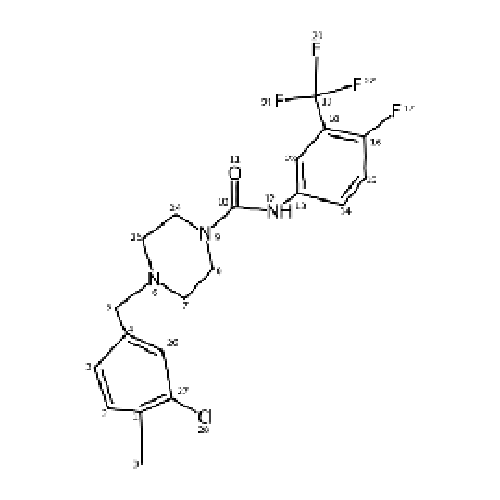 Cc1ccc(CN2CCN(C(=O)Nc3ccc(F)c(C(F)(F)F)c3)CC2)cc1Cl